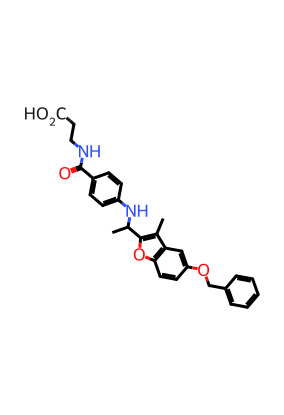 Cc1c(C(C)Nc2ccc(C(=O)NCCC(=O)O)cc2)oc2ccc(OCc3ccccc3)cc12